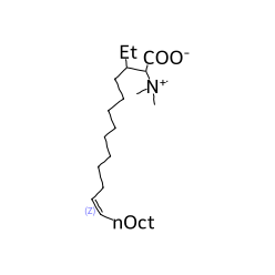 CCCCCCCC/C=C\CCCCCCCCC(CC)C(C(=O)[O-])[N+](C)(C)C